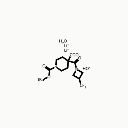 CC(C)(C)OC(=O)N1CCC(C(=O)[O-])(C(=O)N2CC(C(F)(F)F)C2)CC1.O.[Li+].[Li+].[OH-]